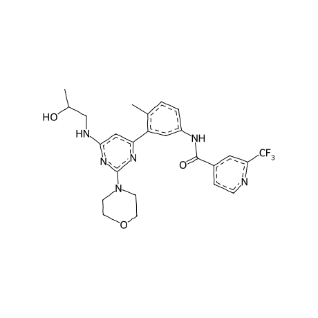 Cc1ccc(NC(=O)c2ccnc(C(F)(F)F)c2)cc1-c1cc(NCC(C)O)nc(N2CCOCC2)n1